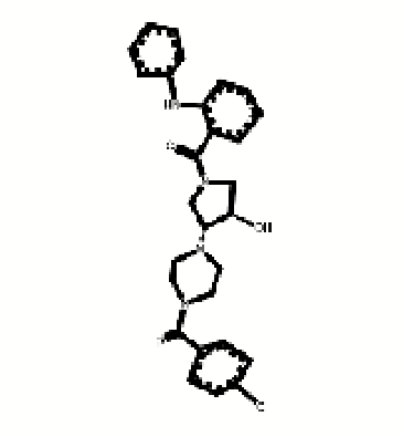 O=C(c1ccc(Cl)cc1)N1CCN([C@@H]2CN(C(=O)c3ccccc3Nc3ccccc3)C[C@H]2O)CC1